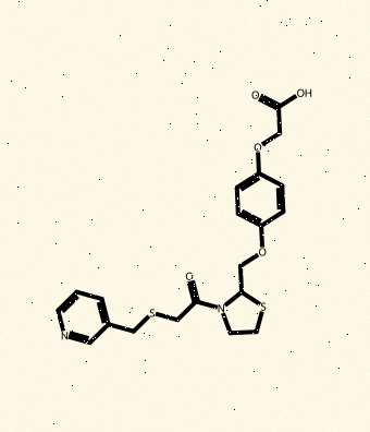 O=C(O)COc1ccc(OCC2SCCN2C(=O)CSCc2cccnc2)cc1